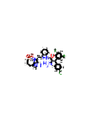 NC(C(=O)N[C@H]1CCCC[C@@H]1CC[C@H]1CN[C@@H]2CCCS(=O)(=O)N1C2)C(c1ccc(Cl)cc1)c1cc(F)cc(F)c1